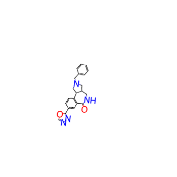 O=C1NCC2CN(Cc3ccccc3)CC2c2ccc(-c3nnco3)cc21